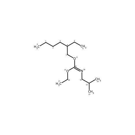 CCCCC(CC)COC(=NCC(C)C)OCC